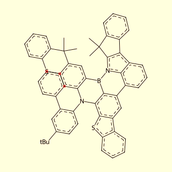 CC(C)(C)c1ccc(N2c3cc4c(cc3B3c5c(cc6c(sc7ccccc76)c52)-c2cccc5c6c(n3c25)C(C)(C)c2ccccc2-6)C(C)(C)c2ccccc2S4)c(-c2ccccc2)c1